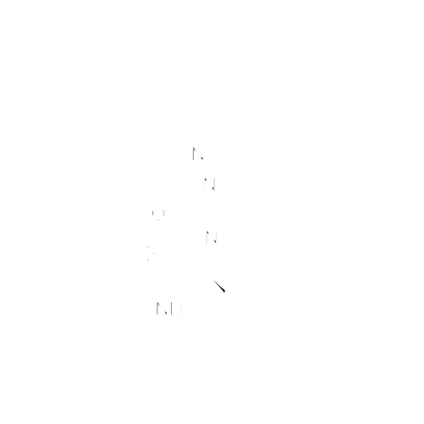 Cc1cn(N=C(c2ccccc2)c2ccccc2)c(=O)n1[C@@H](Cc1ccccc1)C(=O)NC(C)C